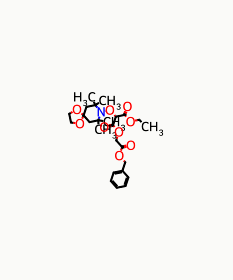 CCOC(=O)C(ON1C(C)(C)CC2(CC1(C)C)OCCO2)C(=O)OCC(=O)OCc1ccccc1